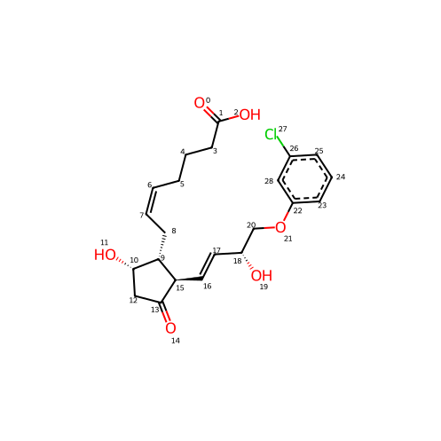 O=C(O)CCC/C=C\C[C@H]1[C@@H](O)CC(=O)[C@@H]1/C=C/[C@@H](O)COc1cccc(Cl)c1